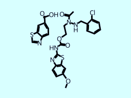 COc1ccc2nc(NC(=O)OCCN(NCc3ccccc3Cl)C(C)=O)sc2c1.O=C(O)c1ccc2ncsc2c1